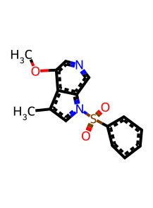 COc1cncc2c1c(C)cn2S(=O)(=O)c1ccccc1